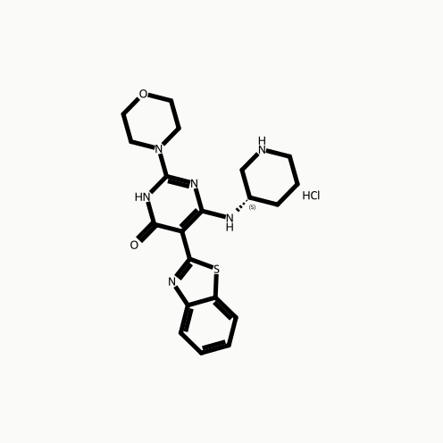 Cl.O=c1[nH]c(N2CCOCC2)nc(N[C@H]2CCCNC2)c1-c1nc2ccccc2s1